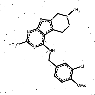 COc1ccc(CNc2nc(C(=O)O)nc3sc4c(c23)CCN(C)C4)cc1Cl